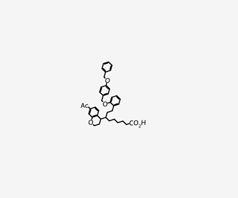 CC(=O)c1ccc2c(c1)OCCC2C(CCCCCC(=O)O)CCc1ccccc1OCc1ccc(OCc2ccccc2)cc1